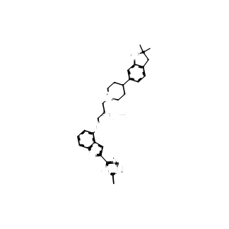 Cc1nnc(-c2cc3c(OC[C@@H](O)CN4CCC(c5ccc6c(c5)OC(C)(C)C6)CC4)cccc3o2)o1